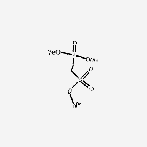 CCCOS(=O)(=O)CP(=O)(OC)OC